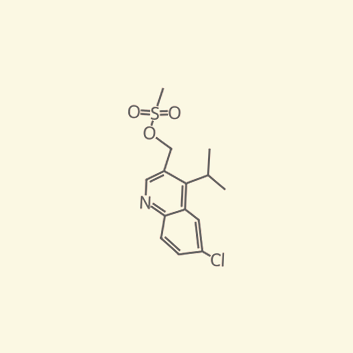 CC(C)c1c(COS(C)(=O)=O)cnc2ccc(Cl)cc12